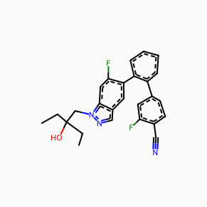 CCC(O)(CC)Cn1ncc2cc(-c3ccccc3-c3ccc(C#N)c(F)c3)c(F)cc21